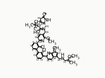 COc1nc(-c2cccc(-c3cccc(-c4ccc5c(CNC[C@H](C)OC)cn(C)c5n4)c3Cl)c2Cl)ccc1CN(C[C@@H]1CCC(=O)N1)C(=O)OC(C)(C)C